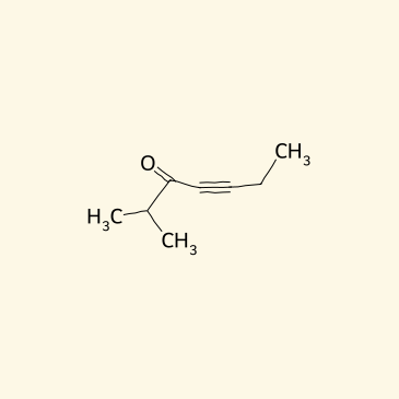 CCC#CC(=O)C(C)C